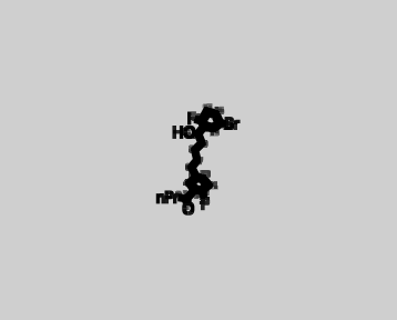 CCCC(=O)c1cc(CCCCC(O)c2cc(Br)ccc2F)ccc1F